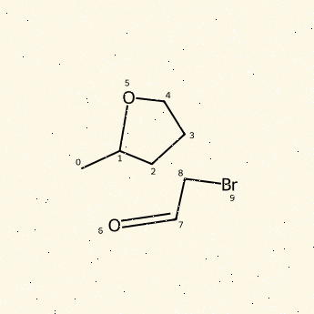 CC1CCCO1.O=CCBr